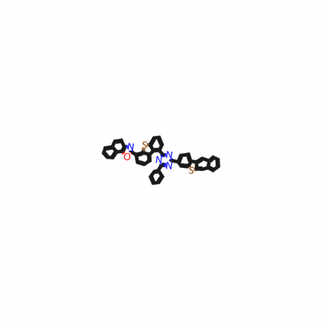 c1ccc(-c2nc(-c3ccc4c(c3)sc3cc5ccccc5cc34)nc(-c3cccc4sc5c(-c6nc7ccc8ccccc8c7o6)cccc5c34)n2)cc1